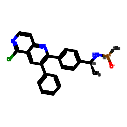 C[C@@H](N[S@+]([O-])C(C)(C)C)c1ccc(-c2nc3ccnc(Cl)c3cc2-c2ccccc2)cc1